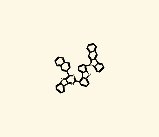 c1ccc2cc(-c3nc(-c4cccc5oc6c(-n7c8ccccc8c8cc9ccccc9cc87)cccc6c45)nc4c3sc3ccccc34)ccc2c1